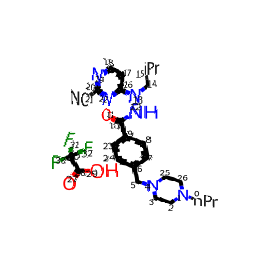 CCCN1CCN(Cc2ccc(C(=O)NN(CC(C)C)c3ccnc(C#N)n3)cc2)CC1.O=C(O)C(F)(F)F